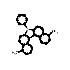 Cc1cccc2c3c(ccc12)B(c1ccccc1)c1ccc2c(C)cccc2c1-3